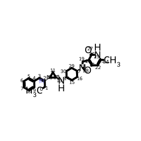 CC/C(=C\c1ccccc1)[C@@H]1C[C@H]1N[C@H]1CC[C@H](N2Cc3c(cc(C)[nH]c3=O)O2)CC1